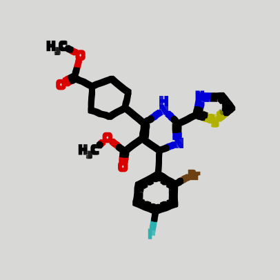 COC(=O)C1=C(C2CCC(C(=O)OC)CC2)NC(c2nccs2)=NC1c1ccc(F)cc1Br